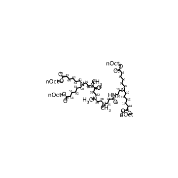 CCCCCCCCOC(=O)CCCCCN(CCCCCC(=O)OCCCCCCCC)CCNC(=O)CCN(C)CCN(C)CCC(=O)N(C)CCN(CCCCCC(=O)OCCCCCCCC)CCCCCC(=O)OCCCCCCCC